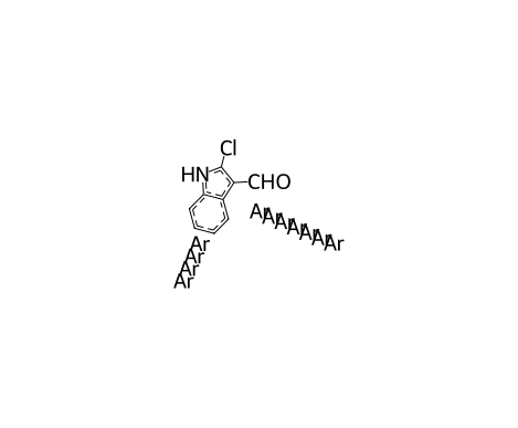 O=Cc1c(Cl)[nH]c2ccccc12.[Ar].[Ar].[Ar].[Ar].[Ar].[Ar].[Ar].[Ar].[Ar].[Ar].[Ar]